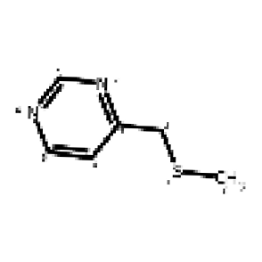 CSCc1ccncn1